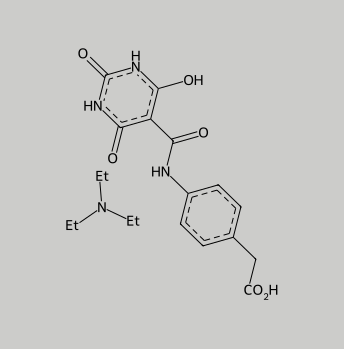 CCN(CC)CC.O=C(O)Cc1ccc(NC(=O)c2c(O)[nH]c(=O)[nH]c2=O)cc1